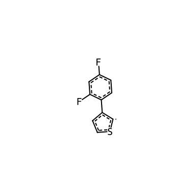 Fc1ccc(-c2[c]scc2)c(F)c1